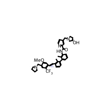 COc1cc(/C=C/c2cccc(-c3cccc(NC(=O)c4cc(CN5CC[C@@H](O)C5)ccn4)c3C)c2C)c(C(F)(F)F)cc1CN1CCCC1